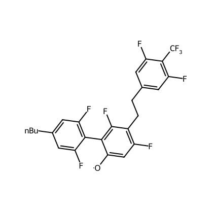 CCCCc1cc(F)c(-c2c([O])cc(F)c(CCc3cc(F)c(C(F)(F)F)c(F)c3)c2F)c(F)c1